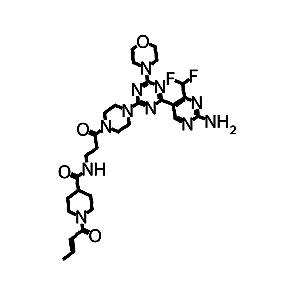 C/C=C/C(=O)N1CCC(C(=O)NCCC(=O)N2CCN(c3nc(-c4cnc(N)nc4C(F)F)nc(N4CCOCC4)n3)CC2)CC1